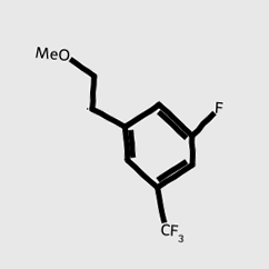 COC[CH]c1cc(F)cc(C(F)(F)F)c1